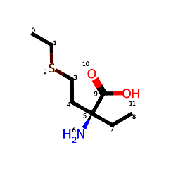 CCSCC[C@@](N)(CC)C(=O)O